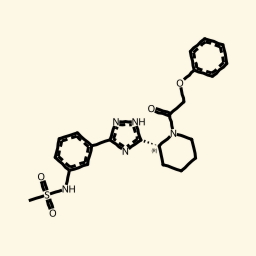 CS(=O)(=O)Nc1cccc(-c2n[nH]c([C@H]3CCCCN3C(=O)COc3ccccc3)n2)c1